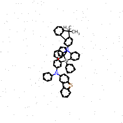 CC1(C)c2ccccc2-c2cc(N(c3ccccc3)c3ccccc3[Si](c3ccccc3)(c3ccccc3)c3cccc(N(c4ccccc4)c4ccc5sc6ccccc6c5c4)c3)ccc21